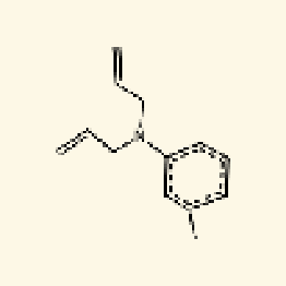 C=CCN(CC=C)c1cccc(C)c1